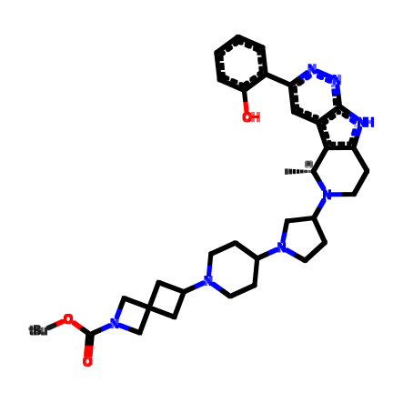 C[C@@H]1c2c([nH]c3nnc(-c4ccccc4O)cc23)CCN1C1CCN(C2CCN(C3CC4(C3)CN(C(=O)OC(C)(C)C)C4)CC2)C1